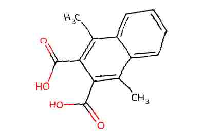 Cc1c(C(=O)O)c(C(=O)O)c(C)c2ccccc12